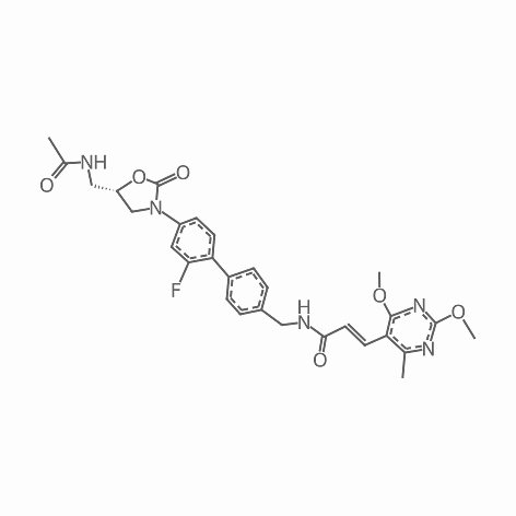 COc1nc(C)c(/C=C/C(=O)NCc2ccc(-c3ccc(N4C[C@H](CNC(C)=O)OC4=O)cc3F)cc2)c(OC)n1